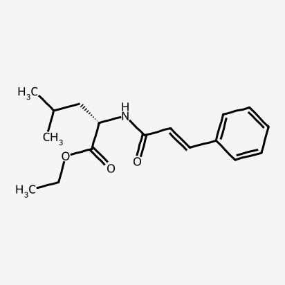 CCOC(=O)[C@H](CC(C)C)NC(=O)C=Cc1ccccc1